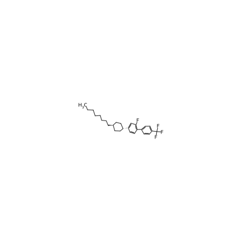 CCCCCCCC[C@H]1CC[C@H](c2ccc(-c3ccc(C(F)(F)F)cc3)c(F)c2)CC1